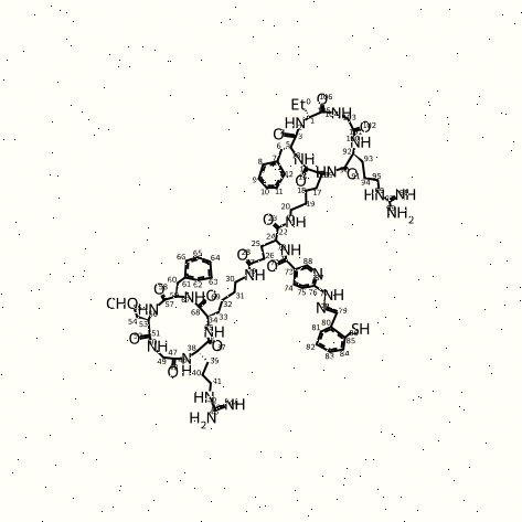 CC[C@H]1NC(=O)[C@@H](Cc2ccccc2)NC(=O)C(CCCCNC(=O)C(CCC(=O)NCCCC[C@H]2NC(=O)[C@H](CCCNC(=N)N)NC(=O)CNC(=O)[C@@H](CC=O)NC(=O)[C@@H](Cc3ccccc3)NC2=O)NC(=O)c2ccc(NN=Cc3ccccc3S)nc2)NC(=O)[C@H](CCCNC(=N)N)NC(=O)CNC1=O